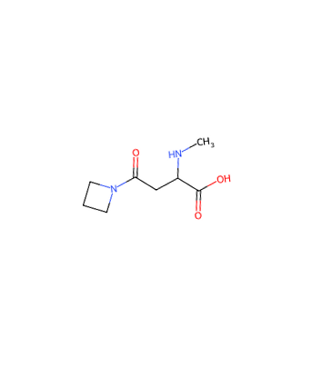 CNC(CC(=O)N1CCC1)C(=O)O